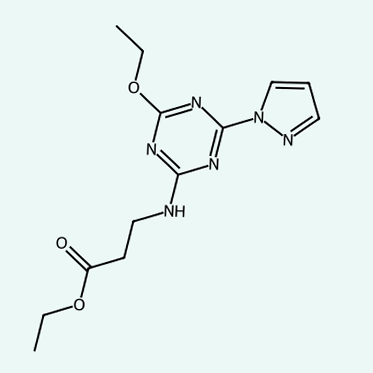 CCOC(=O)CCNc1nc(OCC)nc(-n2cccn2)n1